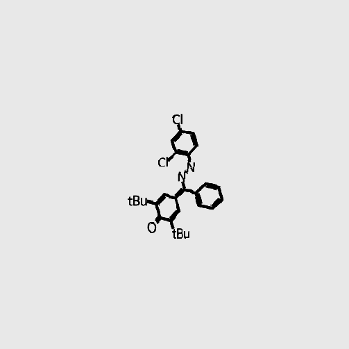 CC(C)(C)C1=CC(=C(N=Nc2ccc(Cl)cc2Cl)c2ccccc2)C=C(C(C)(C)C)C1=O